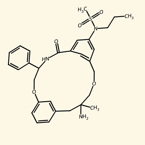 CCCN(c1cc2cc(c1)C(=O)NC(c1ccccc1)COc1cccc(c1)CC(C)(N)COC2)S(C)(=O)=O